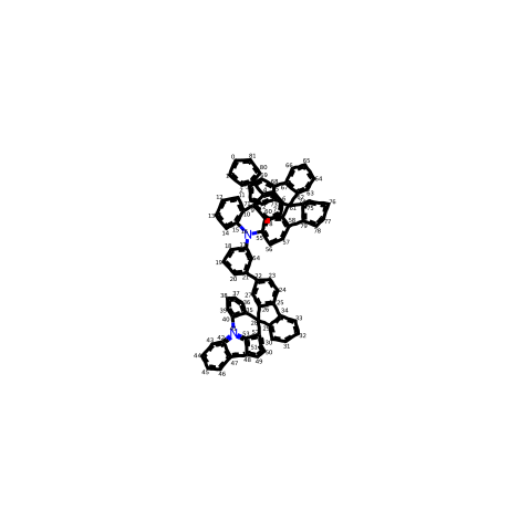 c1ccc(-c2ccccc2-c2ccccc2N(c2cccc(-c3ccc4c(c3)C3(c5ccccc5-4)c4ccccc4-n4c5ccccc5c5cccc3c54)c2)c2ccc3c(c2)C2(c4ccccc4-c4ccccc42)c2ccccc2-3)cc1